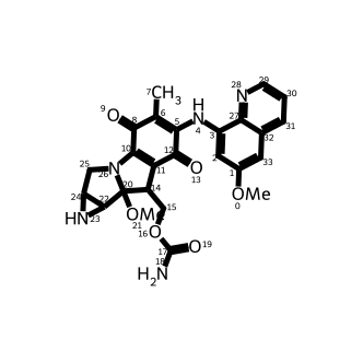 COc1cc(NC2=C(C)C(=O)C3=C(C2=O)C(COC(N)=O)C2(OC)C4NC4CN32)c2ncccc2c1